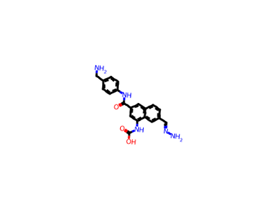 NCc1ccc(NC(=O)c2cc(NC(=O)O)c3cc(C=NN)ccc3c2)cc1